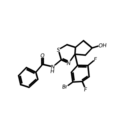 O=C(NC1=NC2(c3cc(Br)c(F)cc3F)CC(O)CC2CS1)c1ccccc1